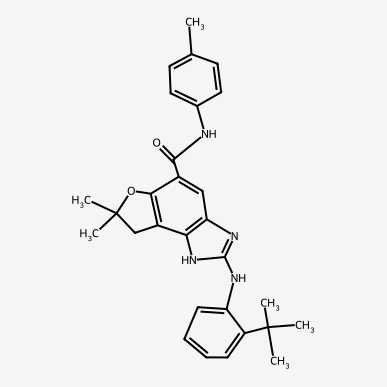 Cc1ccc(NC(=O)c2cc3nc(Nc4ccccc4C(C)(C)C)[nH]c3c3c2OC(C)(C)C3)cc1